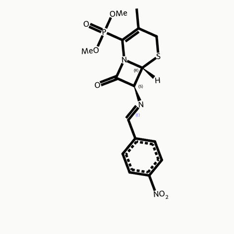 COP(=O)(OC)C1=C(C)CS[C@@H]2[C@@H](/N=C/c3ccc([N+](=O)[O-])cc3)C(=O)N12